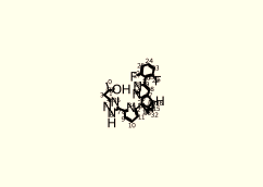 C[C@@H](O)Cc1n[nH]c(-c2cccc([C@@]34CC[C@@H](c5cc(-c6c(F)cccc6F)nnc53)C4(C)C)n2)n1